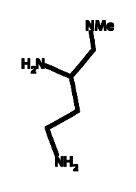 CNCC(N)CCN